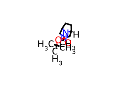 CN1CC2CC[C@@H](C1)N2C(=O)OC(C)(C)C